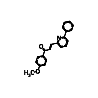 COc1ccc(C(=O)C=Cc2cccc(-c3ccccc3)n2)cc1